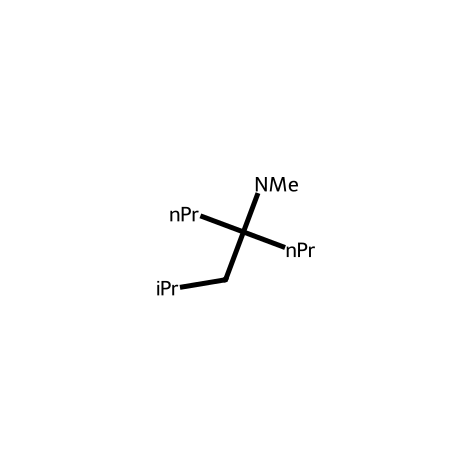 CCCC(CCC)(CC(C)C)NC